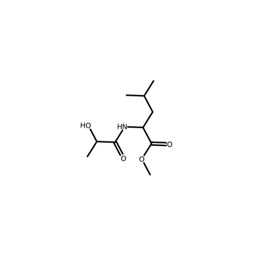 COC(=O)C(CC(C)C)NC(=O)C(C)O